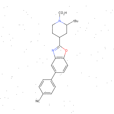 CC(C)(C)C1CC(c2nc3cc(-c4ccc(C#N)cc4)ccc3o2)CCN1C(=O)O